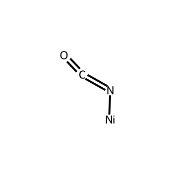 O=C=[N][Ni]